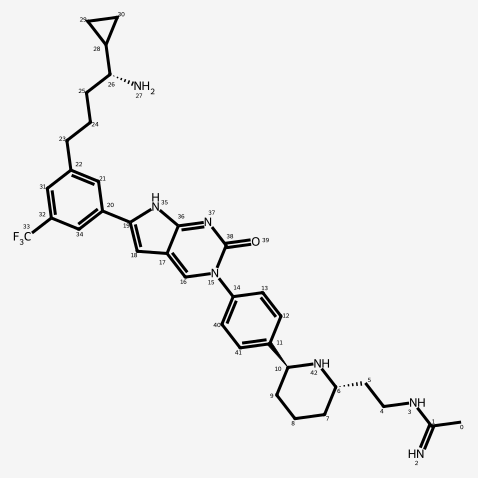 CC(=N)NCC[C@@H]1CCC[C@@H](c2ccc(-n3cc4cc(-c5cc(CCC[C@@H](N)C6CC6)cc(C(F)(F)F)c5)[nH]c4nc3=O)cc2)N1